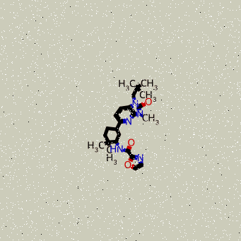 Cn1c(=O)n(CC(C)(C)C)c2ccc(C3CCC(C)(C)C(NC(=O)c4ncco4)C3)nc21